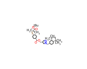 CC(C)(C)OC(=O)C(C)(C)Sc1ccc(C(=O)OCc2cnn(Cc3ccc4c(c3)C(C)(C)CCC4(C)C)c2)cc1